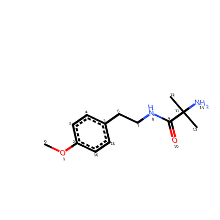 COc1ccc(CCNC(=O)C(C)(C)N)cc1